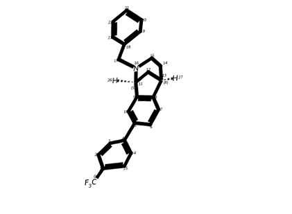 FC(F)(F)c1ccc(-c2ccc3c(c2)[C@@H]2C[C@H]3CCN2Cc2ccccc2)cc1